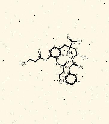 CCCC(=O)Oc1ccc(CC(N)(C[C@H](C)OC(=O)Oc2ccccc2)C(=O)O)cc1OC(=O)CCC